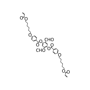 C=CC(=O)OCCCCCCOc1ccc(C(=O)Oc2cc(C=O)c(OC(=O)c3ccc(OCCCCCCOC(=O)C=C)cc3)cc2C=O)cc1